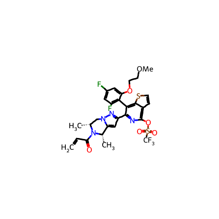 C=CC(=O)N1[C@H](C)Cn2nc(-c3nc(OS(=O)(=O)C(F)(F)F)c4ccsc4c3-c3c(F)cc(F)cc3OCCOC)cc2[C@@H]1C